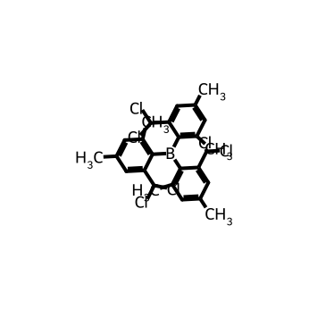 Cc1cc(C)c(B(c2c(C)cc(C)cc2C(Cl)Cl)c2c(C)cc(C)cc2C(Cl)Cl)c(C(Cl)Cl)c1